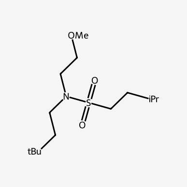 COCCN(CCC(C)(C)C)S(=O)(=O)CCC(C)C